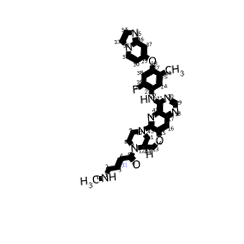 CNC/C=C/C(=O)N1CCN2C[C@H]1COc1cc3ncnc(Nc4cc(C)c(Oc5ccn6ccnc6c5)cc4F)c3nc12